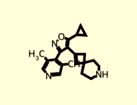 Cc1cncc(C)c1-c1noc(C2CC2)c1C1=CC2(CCNCC2)C1